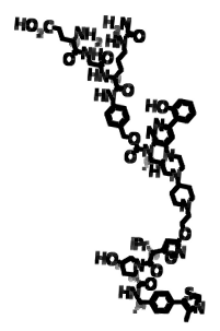 Cc1ncsc1-c1ccc([C@H](C)NC(=O)[C@@H]2C[C@@H](O)CN2C(=O)[C@@H](c2cc(OCCN3CCC(N4CCN5c6cc(-c7ccccc7O)nnc6N(C(=O)OCc6ccc(NC(=O)[C@H](CCCNC(N)=O)NC(=O)CNC(=O)[C@@H](N)CCC(=O)O)cc6)[C@@H](C)[C@@H]5C4)CC3)no2)C(C)C)cc1